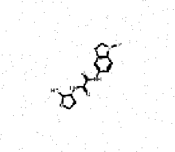 CCCN1CCc2cc(NC(=O)C(=O)N[C@H]3CCOC3O)ccc21